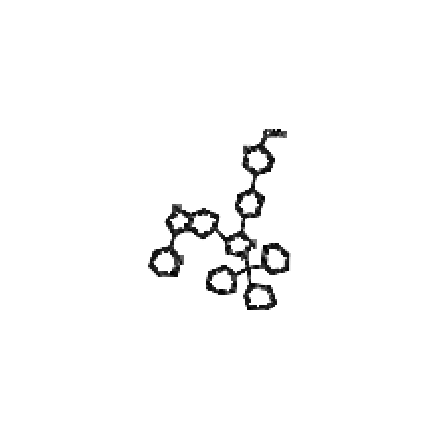 COc1ccc(-c2ccc(-c3nn(C(c4ccccc4)(c4ccccc4)c4ccccc4)cc3-c3ccc4ncc(-c5ccccn5)n4c3)cc2)cn1